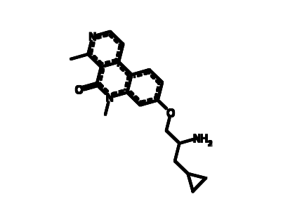 Cc1nccc2c1c(=O)n(C)c1cc(OCC(N)CC3CC3)ccc21